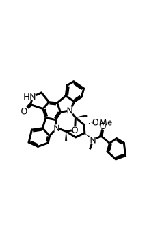 CO[C@@H]1[C@H](N(C)C(=O)c2ccccc2)C[C@@]2(C)O[C@]1(C)n1c3ccccc3c3c4c(c5c6ccccc6n2c5c31)C(=O)NC4